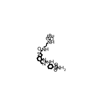 CC(C)(C)OC(=O)NCCCNC(=O)c1cc2c(ccc3cnc(Nc4cccc(S(N)(=O)=O)c4)nc32)s1